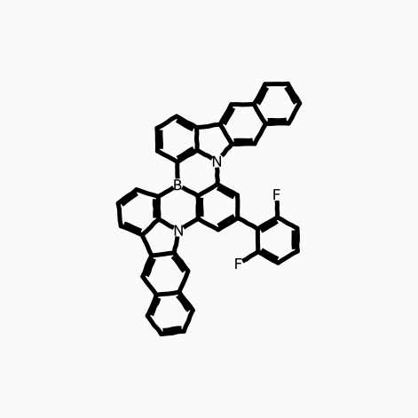 Fc1cccc(F)c1-c1cc2c3c(c1)-n1c4cc5ccccc5cc4c4cccc(c41)B3c1cccc3c4cc5ccccc5cc4n-2c13